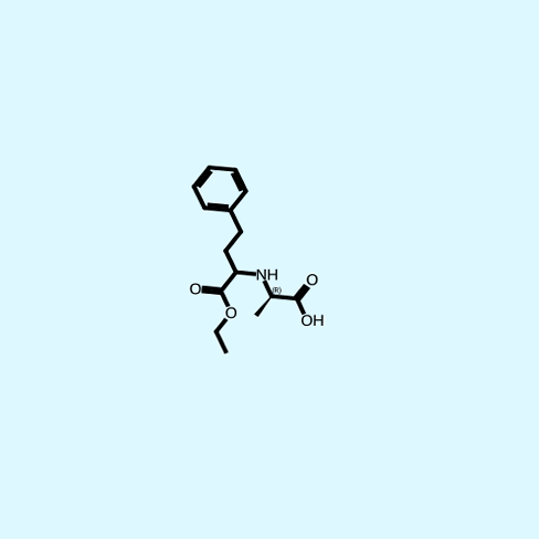 CCOC(=O)C(CCc1ccccc1)N[C@H](C)C(=O)O